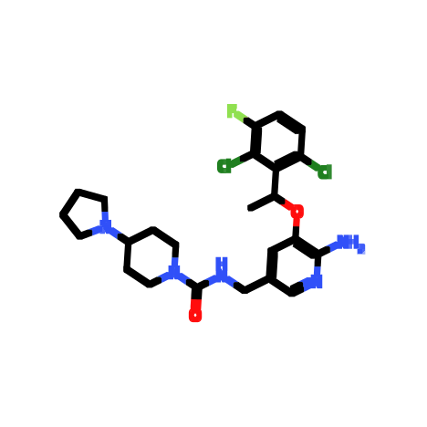 CC(Oc1cc(CNC(=O)N2CCC(N3CCCC3)CC2)cnc1N)c1c(Cl)ccc(F)c1Cl